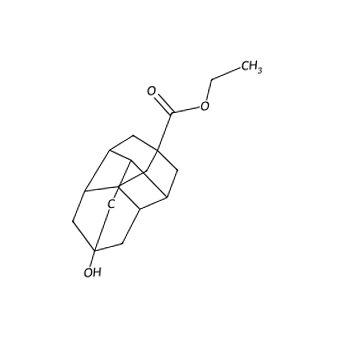 CCOC(=O)C12CC3C4CC5(O)CC3C(C1)C(C5)C4C2